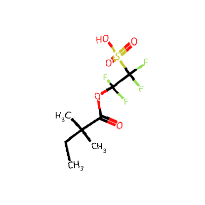 CCC(C)(C)C(=O)OC(F)(F)C(F)(F)S(=O)(=O)O